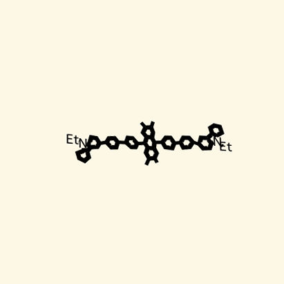 CCn1c2ccccc2c2cc(-c3ccc(-c4ccc(-c5c6cc(C)c(C)cc6c(-c6ccc(-c7ccc(-c8ccc9c(c8)c8ccccc8n9CC)cc7)cc6)c6cc(C)c(C)cc56)cc4)cc3)ccc21